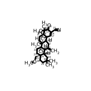 C=C1C[C@H]2C(C)(CC[C@H]3C(C)(C)C(=O)C(C#N)=C[C@@]32C)[C@]2(C)CC[C@@]3(COC)CCC(C)(C)C[C@H]3[C@@H]12